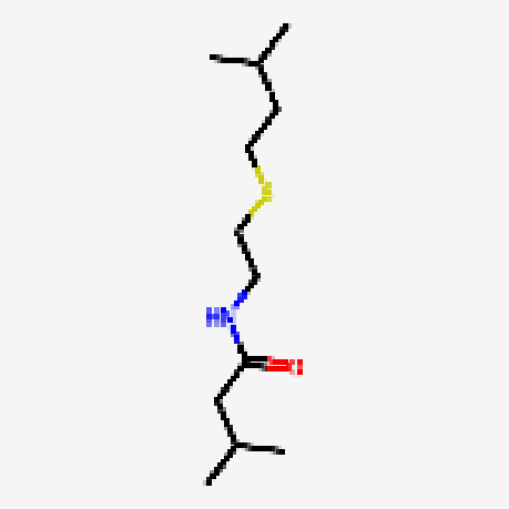 CC(C)CCSCCNC(=O)CC(C)C